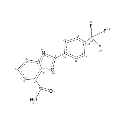 O=C(O)c1cccc2nc(-c3ccc(C(F)(F)F)cc3)oc12